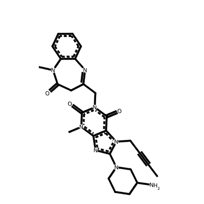 CC#CCn1c(N2CCCC(N)C2)nc2c1c(=O)n(CC1=Nc3ccccc3N(C)C(=O)C1)c(=O)n2C